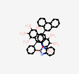 Bc1c(B)c(B)c2c(-c3cc4ccccc4c4ccccc34)c3c(B)c(B)c(B)c(B)c3c(-c3ccccc3-c3nc4ccccc4n3-c3ccccc3)c2c1B